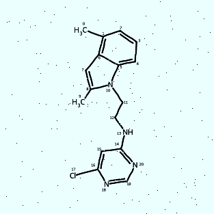 Cc1cccc2c1cc(C)n2CCNc1cc(Cl)ncn1